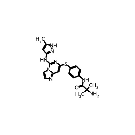 Cc1cc(Nc2nc(Sc3ccc(NC(=O)C(C)(C)N)cc3)cc3nccn23)n[nH]1